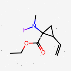 C=CC1CC1(C(=O)OCC)N(C)I